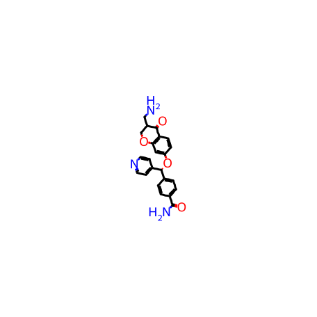 NCC1COc2cc(O[C@@H](c3ccncc3)c3ccc(C(N)=O)cc3)ccc2C1=O